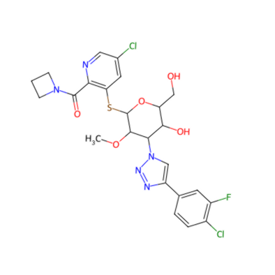 COC1C(Sc2cc(Cl)cnc2C(=O)N2CCC2)OC(CO)C(O)C1n1cc(-c2ccc(Cl)c(F)c2)nn1